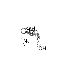 CCN(CC)CC.C[C@H](CCCC(C)(C)O)[C@H]1CC[C@H]2[C@@H]3CC=C4CCCC[C@]4(C)[C@H]3CC[C@]12C